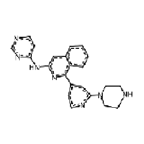 c1ccc2c(-c3ccnc(N4CCNCC4)c3)nc(Nc3ccncn3)cc2c1